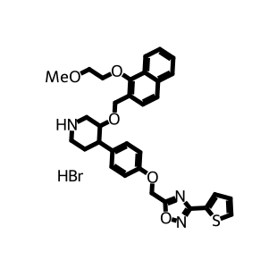 Br.COCCOc1c(COC2CNCCC2c2ccc(OCc3nc(-c4cccs4)no3)cc2)ccc2ccccc12